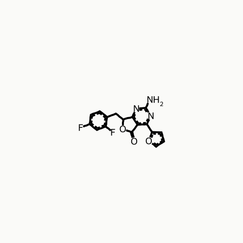 Nc1nc(-c2ccco2)c2c(n1)C(Cc1ccc(F)cc1F)OC2=O